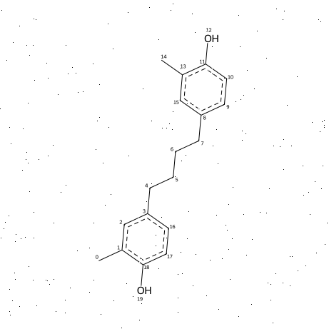 Cc1cc(CCCCc2ccc(O)c(C)c2)ccc1O